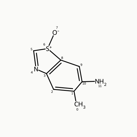 Cc1cc2nc[s+]([O-])c2cc1N